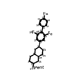 CCCCCC1CCC2CC(c3cc(F)c(-c4ccc(F)cc4)c(F)c3)CCC2C1